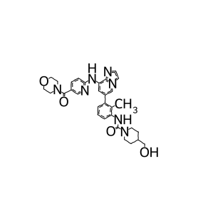 Cc1c(NC(=O)N2CCC(CO)CC2)cccc1-c1cc(Nc2ccc(C(=O)N3CCOCC3)cn2)c2nccn2c1